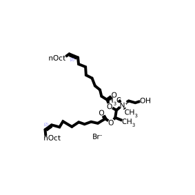 CCCCCCCC/C=C\CCCCCCCC(=O)OC(C)C(OC(=O)CCCCCCC/C=C\CCCCCCCC)[N+](C)(C)CCO.[Br-]